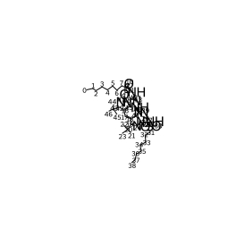 CCCCCCCCS(=O)(=O)Nc1n[nH]c2c(/C=c3/c(C(C)(C)C)nn4c(NS(=O)(=O)CCCCCCCC)nnc34)c(C(C)(C)C)nn12